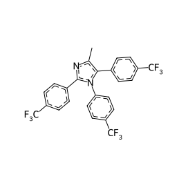 Cc1nc(-c2ccc(C(F)(F)F)cc2)n(-c2ccc(C(F)(F)F)cc2)c1-c1ccc(C(F)(F)F)cc1